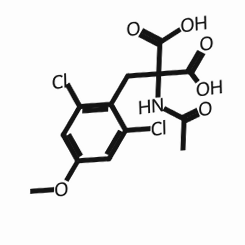 COc1cc(Cl)c(CC(NC(C)=O)(C(=O)O)C(=O)O)c(Cl)c1